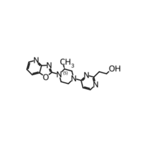 C[C@H]1CN(c2ccnc(CCO)n2)CCN1c1nc2ncccc2o1